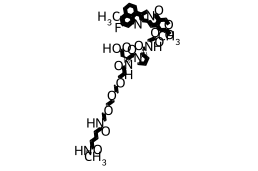 CNC(=O)CCCC(=O)NCCOCCOCCOCCC(=O)N[C@@H](CC(=O)O)C(=O)N1CCC[C@H]1C(=O)NCC(=O)OC1(C)C(=O)OCc2c1cc1n(c2=O)Cc2c-1nc1cc(F)c(C)c3c1c2CCC3